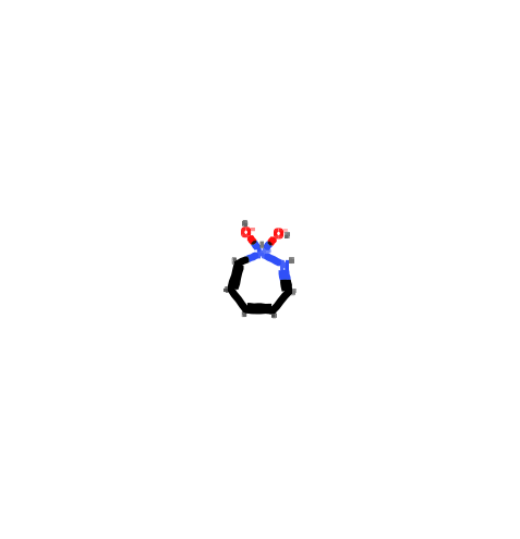 [O-][N+]1([O-])C=CC=CC=N1